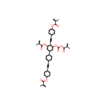 C=C(C)C(=O)OC(=O)Oc1cc(-c2ccc(C#Cc3ccc(OC(=O)C(=C)C)cc3)cc2)cc(OC(=O)C(=C)C)c1C#Cc1ccc(OC(=O)C(=C)C)cc1